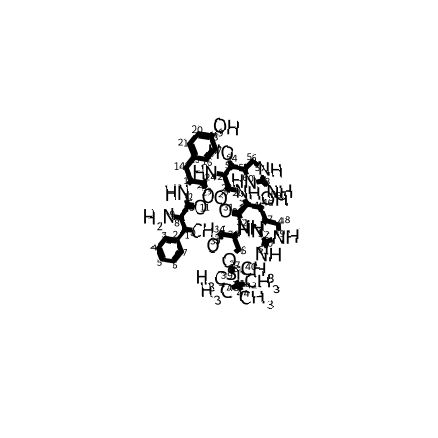 CC(c1ccccc1)C(N)C(=O)NC(Cc1ccc(O)cc1)C(=O)NC(C(=O)NC(C(=O)NC([C]=O)CO[Si](C)(C)C(C)(C)C)C(O)C1CNC(=N)N1)C(O)C1CNC(=N)N1